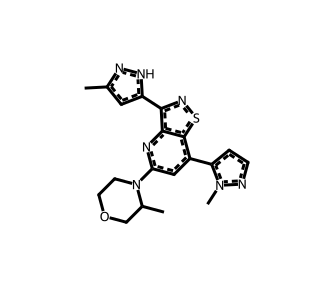 Cc1cc(-c2nsc3c(-c4ccnn4C)cc(N4CCOCC4C)nc23)[nH]n1